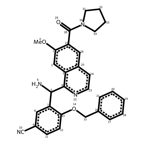 COc1cc2c(C(N)c3cc(C#N)ccc3OCc3ccccc3)nccc2cc1C(=O)N1CCCC1